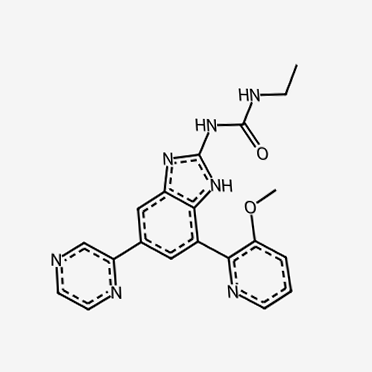 CCNC(=O)Nc1nc2cc(-c3cnccn3)cc(-c3ncccc3OC)c2[nH]1